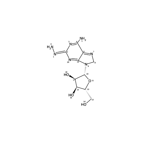 NN=C1N=C(N)C2=NCN([C@@H]3O[C@H](CO)[C@@H](O)[C@H]3O)C2=N1